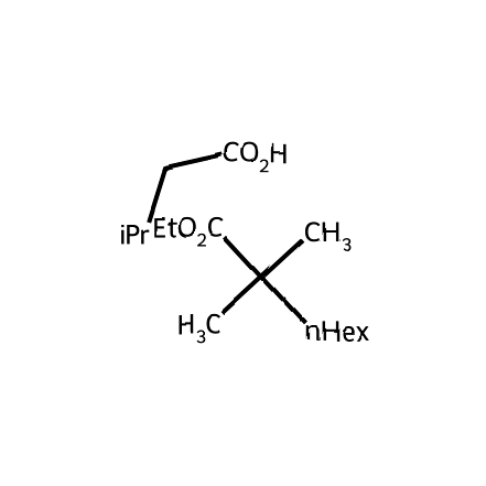 CC(C)CC(=O)O.CCCCCCC(C)(C)C(=O)OCC